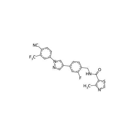 Cc1ncsc1C(=O)NCc1ccc(-c2cnn(-c3ccc(C#N)c(C(F)(F)F)c3)c2)cc1F